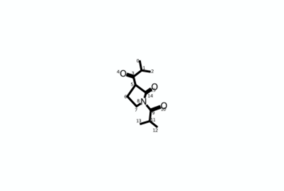 CC(C)C(=O)C1CCN(C(=O)C(C)C)C1=O